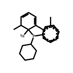 [2H]C1(P(C2CCCCC2)C2CCCCC2)C(c2ccccc2C)=CC=CC1C